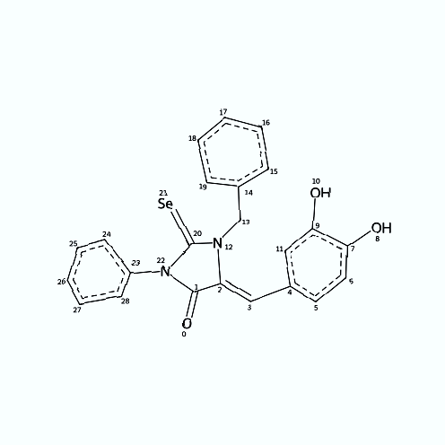 O=C1C(=Cc2ccc(O)c(O)c2)N(Cc2ccccc2)C(=[Se])N1c1ccccc1